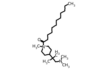 CCCCCCCCCCCC(=O)[N+]1(C)CCC(C(C)(C)CN(C)C)CC1